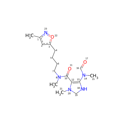 Cc1cc(CCCCN(C)C(=O)C2=C(N(C)C=O)NCN2C)on1